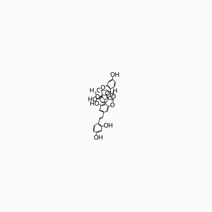 C[C@@]12C[C@@H](c3ccc(O)cc3O1)C13OC1(c1ccc(O)cc1O)Oc1cc(/C=C/c4ccc(O)cc4O)cc(O)c1C3C2=O